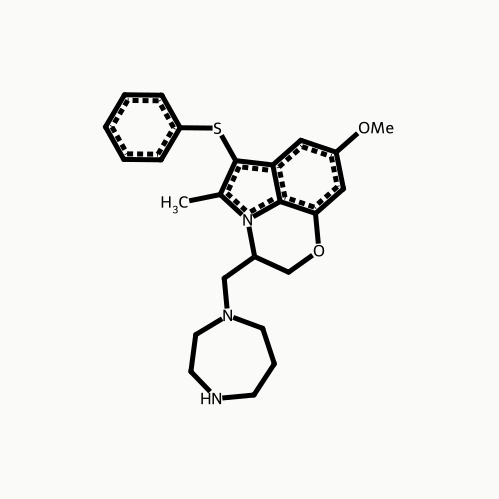 COc1cc2c3c(c1)c(Sc1ccccc1)c(C)n3C(CN1CCCNCC1)CO2